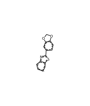 [c]1ccc2nc(-c3ccc4c(c3)OCO4)sc2c1